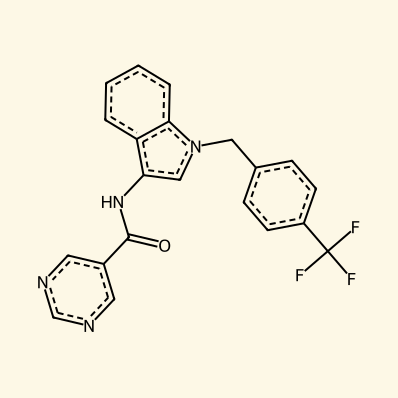 O=C(Nc1cn(Cc2ccc(C(F)(F)F)cc2)c2ccccc12)c1cncnc1